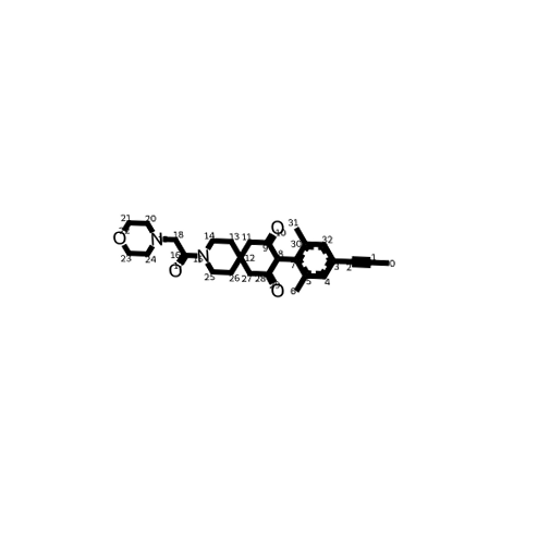 CC#Cc1cc(C)c(C2C(=O)CC3(CCN(C(=O)CN4CCOCC4)CC3)CC2=O)c(C)c1